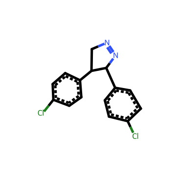 Clc1ccc(C2CN=NC2c2ccc(Cl)cc2)cc1